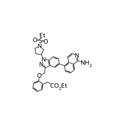 CCOC(=O)Cc1ccccc1OCc1nn(C2CCN(S(=O)(=O)CC)C2)c2ccc(-c3cccc4c(N)nccc34)cc12